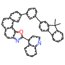 CC1(C)c2ccccc2-c2ccc(-c3cccc(-c4ccc5ccc6ccc7nc(-c8ccnc9ccccc89)oc7c6c5c4)c3)cc21